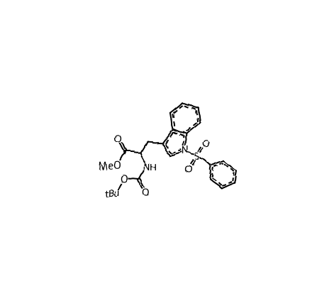 COC(=O)C(Cc1cn(S(=O)(=O)c2ccccc2)c2ccccc12)NC(=O)OC(C)(C)C